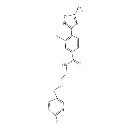 O=C(NCCSCc1ccc(Cl)nc1)c1ccc(-c2noc(C(F)(F)F)n2)c(F)c1